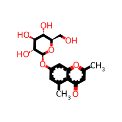 Cc1cc(=O)c2c(C)cc(O[C@@H]3O[C@H](CO)[C@@H](O)[C@H](O)[C@H]3O)cc2o1